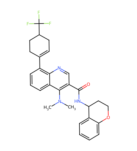 CN(C)c1c(C(=O)NC2CCOc3ccccc32)cnc2c(C3=CCC(C(F)(F)F)CC3)cccc12